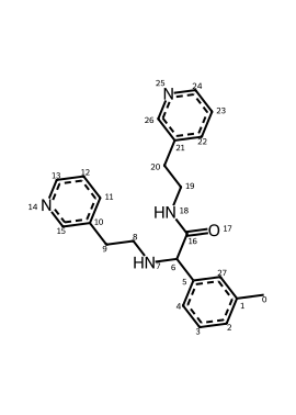 Cc1cccc(C(NCCc2cccnc2)C(=O)NCCc2cccnc2)c1